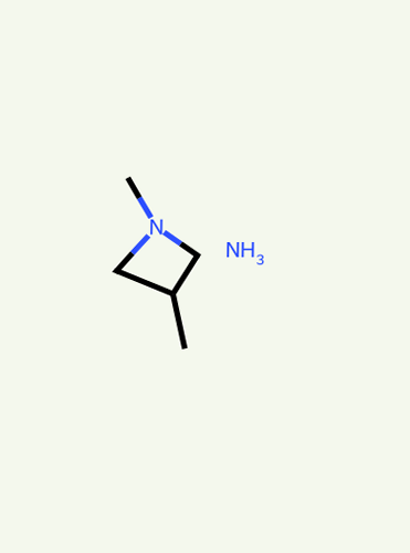 CC1CN(C)C1.N